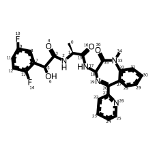 C[C@H](NC(=O)C(O)c1cc(F)ccc1F)C(=O)NC1N=C(c2ccccn2)c2ccccc2N(C)C1=O